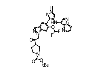 CC(C)(C)OC(=O)N1CCC(C(=O)Cn2ncc3cc(-c4n[nH]cc4Nc4cnn5cccnc45)c(OC(F)F)cc32)CC1